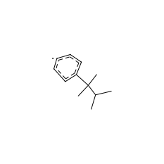 CC(C)C(C)(C)c1cc[c]cc1